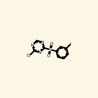 O=S(=O)(c1cccc(I)c1)c1n[c]nc(Cl)n1